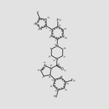 Cc1nnc(-c2nc(N3CCN(C(=O)N4N=CCC4c4cc(F)cc(F)c4)CC3)ncc2F)s1